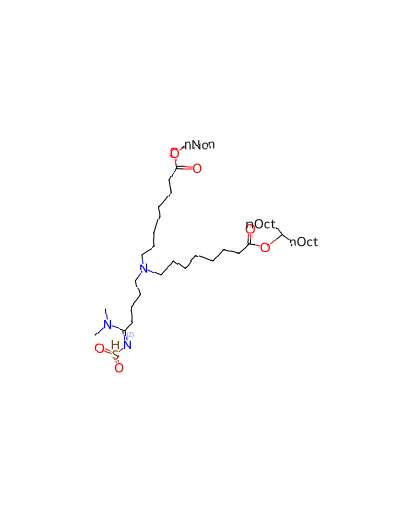 CCCCCCCCCOC(=O)CCCCCCCN(CCCCCCCC(=O)OC(CCCCCCCC)CCCCCCCC)CCCC/C(=N/[SH](=O)=O)N(C)C